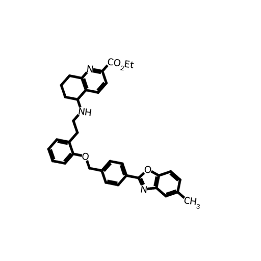 CCOC(=O)c1ccc2c(n1)CCCC2NCCc1ccccc1OCc1ccc(-c2nc3cc(C)ccc3o2)cc1